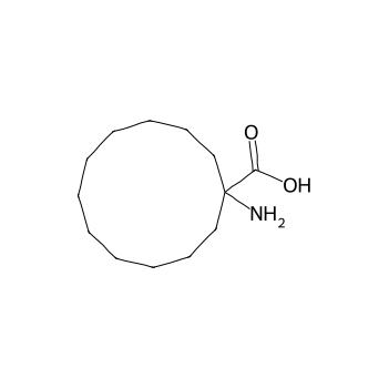 NC1(C(=O)O)CCCCCCCCCCC1